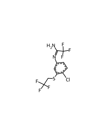 N/C(=N/c1ccc(Cl)c(SCC(F)(F)F)c1)C(F)(F)F